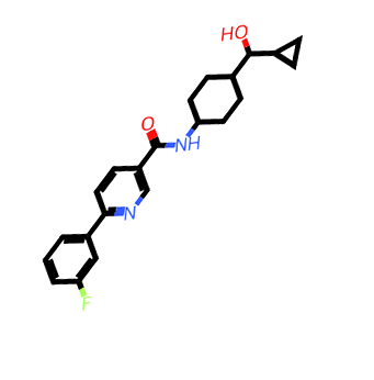 O=C(NC1CCC(C(O)C2CC2)CC1)c1ccc(-c2cccc(F)c2)nc1